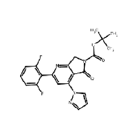 CC(C)(C)OC(=O)N1Cc2nc(-c3c(F)cccc3F)cc(-n3cccn3)c2C1=O